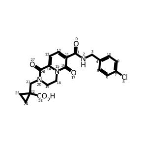 O=C(NCc1ccc(Cl)cc1)c1ccc2n(c1=O)CCN(CC1(C(=O)O)CC1)C2=O